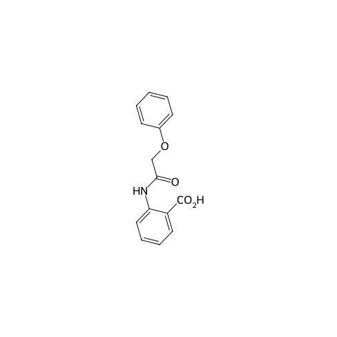 O=C(COc1ccccc1)Nc1ccccc1C(=O)O